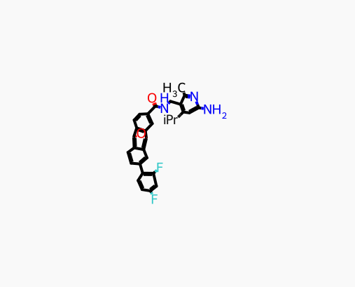 Cc1nc(N)cc(C(C)C)c1CNC(=O)c1ccc2c(c1)c1oc2c2ccc(-c3ccc(F)cc3F)cc21